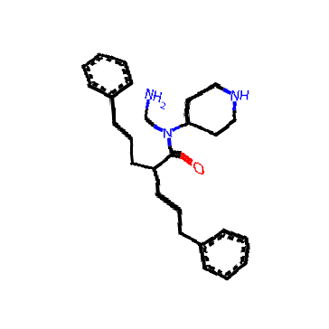 NCN(C(=O)C(CCCc1ccccc1)CCCc1ccccc1)C1CCNCC1